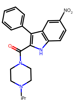 CC(C)N1CCN(C(=O)c2[nH]c3ccc([N+](=O)[O-])cc3c2-c2ccccc2)CC1